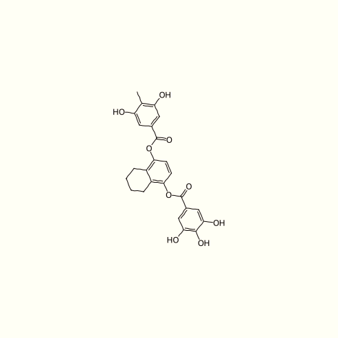 Cc1c(O)cc(C(=O)Oc2ccc(OC(=O)c3cc(O)c(O)c(O)c3)c3c2CCCC3)cc1O